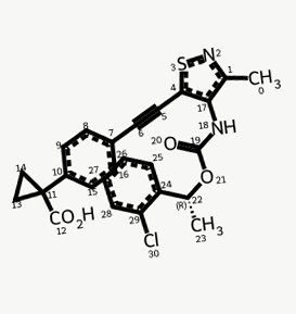 Cc1nsc(C#Cc2ccc(C3(C(=O)O)CC3)cc2)c1NC(=O)O[C@H](C)c1ccccc1Cl